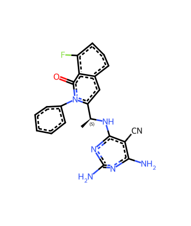 C[C@H](Nc1nc(N)nc(N)c1C#N)c1cc2cccc(F)c2c(=O)n1-c1ccccc1